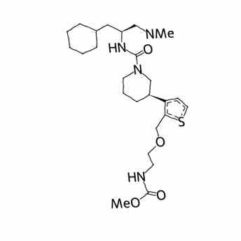 CNC[C@H](CC1CCCCC1)NC(=O)N1CCC[C@H](c2ccsc2COCCNC(=O)OC)C1